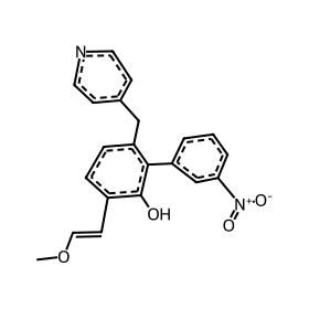 CO/C=C/c1ccc(Cc2ccncc2)c(-c2cccc([N+](=O)[O-])c2)c1O